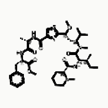 CC[C@H](C)[C@H](NC(=O)[C@H]1CCCCN1C)C(=O)N(C)[C@H](C[C@@H](OC)c1nc(C(=O)N[C@@H](C)C(=O)N[C@@H](Cc2ccccc2)C(=O)OC)cs1)C(C)C